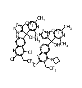 Cc1ccc(C(O)(c2ccc3nc(Cl)c(CC(F)(F)F)c(Cl)c3c2)c2[nH]nnc2C)c(C)n1.Cc1ccc(C(O)(c2ccc3nc(Cl)c(CC(F)(F)F)c(N4CCC4)c3c2)c2cnnn2C)c(C)n1